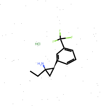 CC[C@@]1(N)C[C@@H]1c1cccc(C(F)(F)F)c1.Cl